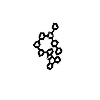 c1ccc(-c2ccc(-c3nc(-c4ccccc4)nc(-c4cccc(-c5cccc(-c6cccc(-c7cccc8c7sc7c9ccccc9c9ccccc9c87)c6)c5)c4)n3)cc2)cc1